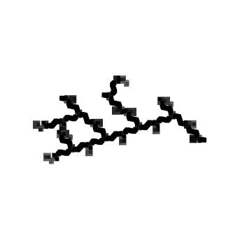 CNCCNCCN(CCN)CCNCCN(CCNCCN(CCNCCN(CCN)CCN)CCNCCN(CCNC)CCNCCN)CCNNCCN(C)CCN